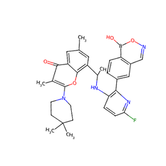 Cc1cc(C(C)Nc2ccc(F)nc2-c2ccc3c(c2)C=NOB3O)c2oc(N3CCC(C)(C)CC3)c(C)c(=O)c2c1